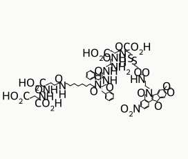 N[C@@H](CNC(=O)[C@H](Cc1ccccc1)NC(=O)[C@H](Cc1ccccc1)NC(=O)CCCCCCCNC(=O)CC[C@H](NC(=O)N[C@@H](CCC(=O)O)C(=O)O)C(=O)O)C(=O)N[C@@H](CC(=O)O)C(=O)N[C@@H](CSSCCOC(=O)NCCCn1c2c(c3ccc([N+](=O)[O-])cc3c1=O)C(=O)c1cc3c(cc1-2)OCO3)C(=O)O